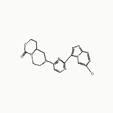 O=C1OCCC2CN(c3ccnc(-c4cnc5ccc(Cl)cn45)n3)CCN12